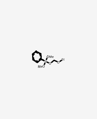 CCOCO[Si](OC)(OC)c1ccccc1